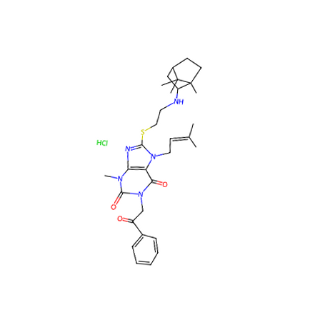 CC(C)=CCn1c(SCCNC2CC3CCC2(C)C3(C)C)nc2c1c(=O)n(CC(=O)c1ccccc1)c(=O)n2C.Cl